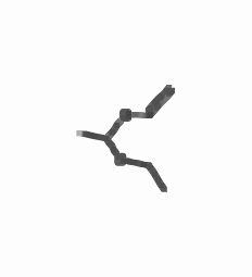 [CH2]C(OC=C)OCC